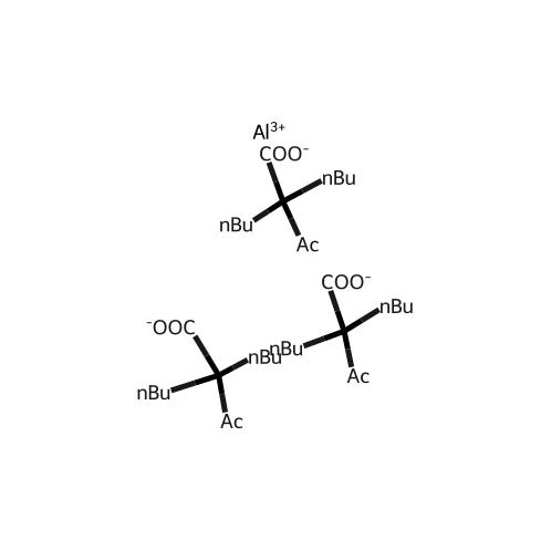 CCCCC(CCCC)(C(C)=O)C(=O)[O-].CCCCC(CCCC)(C(C)=O)C(=O)[O-].CCCCC(CCCC)(C(C)=O)C(=O)[O-].[Al+3]